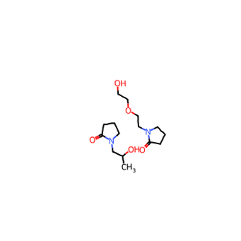 CC(O)CN1CCCC1=O.O=C1CCCN1CCOCCO